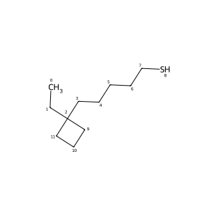 CCC1(CCCCCS)CCC1